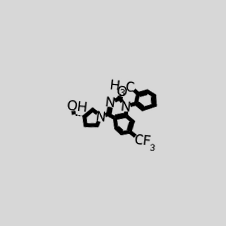 Cc1ccccc1-n1c(=O)nc(N2CC[C@H](CO)C2)c2ccc(C(F)(F)F)cc21